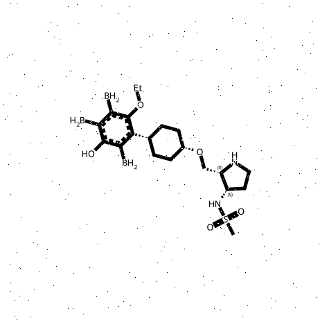 Bc1c(B)c(OCC)c([C@H]2CC[C@@H](OC[C@@H]3NCC[C@@H]3NS(C)(=O)=O)CC2)c(B)c1O